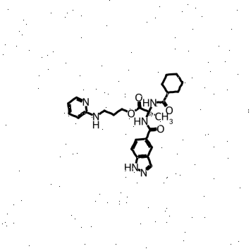 C[C@@](NC(=O)c1ccc2[nH]ncc2c1)(NC(=O)C1CCCCC1)C(=O)OCCCNc1ccccn1